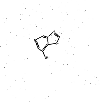 CC(C)(C)c1cncc2ncsc12